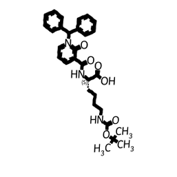 CC(C)(C)OC(=O)NCCCC[C@H](NC(=O)c1cccn(C(c2ccccc2)c2ccccc2)c1=O)C(=O)O